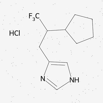 Cl.FC(F)(F)C(Cc1c[nH]cn1)C1CCCC1